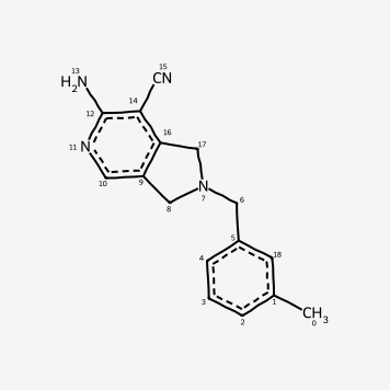 Cc1cccc(CN2Cc3cnc(N)c(C#N)c3C2)c1